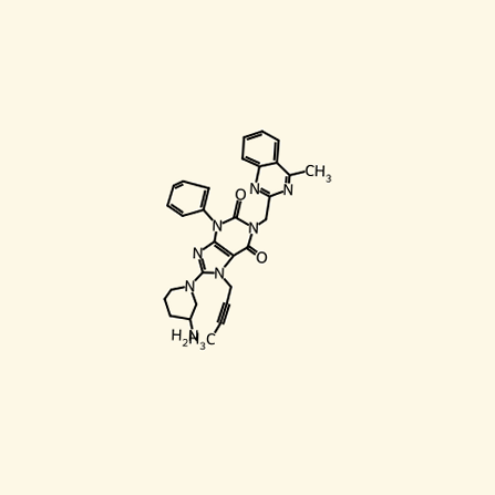 CC#CCn1c(N2CCCC(N)C2)nc2c1c(=O)n(Cc1nc(C)c3ccccc3n1)c(=O)n2-c1ccccc1